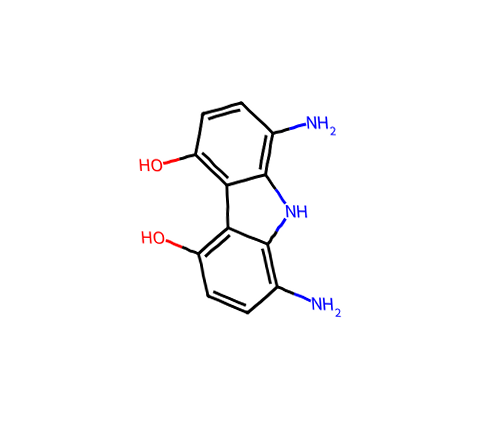 Nc1ccc(O)c2c1[nH]c1c(N)ccc(O)c12